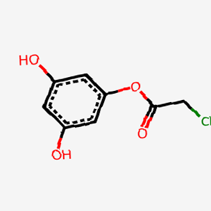 O=C(CCl)Oc1cc(O)cc(O)c1